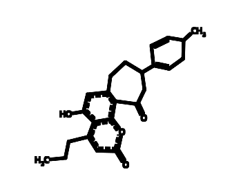 CCCc1cc(=O)oc2c3c(cc(O)c12)CCC(C1=CCC(C)C=C1)CC3=O